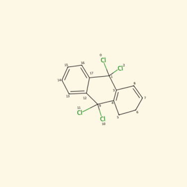 ClC1(Cl)C2=C(CCC=C2)C(Cl)(Cl)c2ccccc21